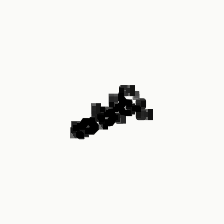 CCC1CN(C(=O)O)CCC1Nc1nc(Nc2ccn3cnnc3c2)ncc1Cl